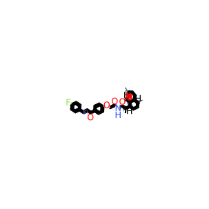 C[C@H]1[C@H](NC(=O)COc2ccc(C(=O)/C=C/c3ccc(F)cc3)cc2)O[C@@H]2O[C@]3(C)CC[C@H]4[C@H](C)CC[C@@H]1[C@@]24OO3